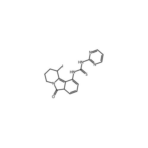 O=C1C2C=CC=C(NC(=S)Nc3ncccn3)C2=C2C(I)CCCN12